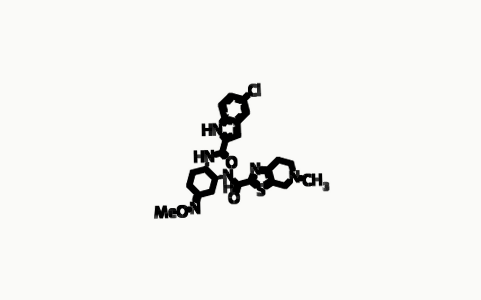 CON=C1CC[C@H](NC(=O)c2cc3cc(Cl)ccc3[nH]2)[C@H](NC(=O)c2nc3c(s2)CN(C)CC3)C1